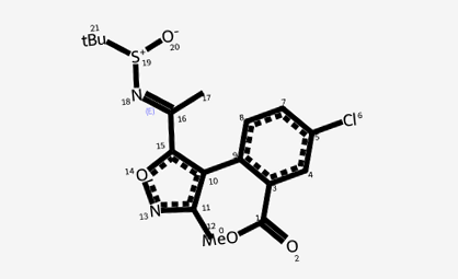 COC(=O)c1cc(Cl)ccc1-c1c(C)noc1/C(C)=N/[S+]([O-])C(C)(C)C